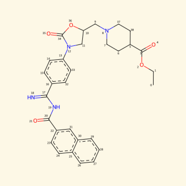 CCOC(=O)C1CCN(CC2CN(c3ccc(C(=N)NC(=O)c4ccc5ccccc5c4)cc3)C(=O)O2)CC1